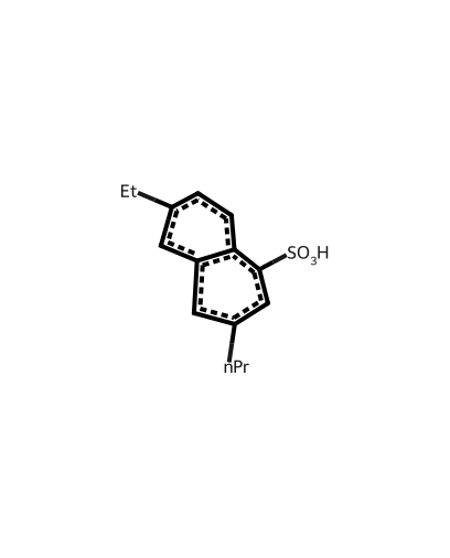 CCCc1cc(S(=O)(=O)O)c2ccc(CC)cc2c1